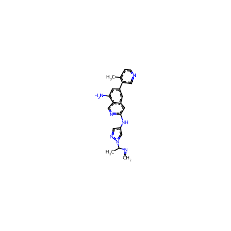 C=NC(C)n1cc(Nc2cc3cc(-c4cnccc4C)cc(N)c3cn2)cn1